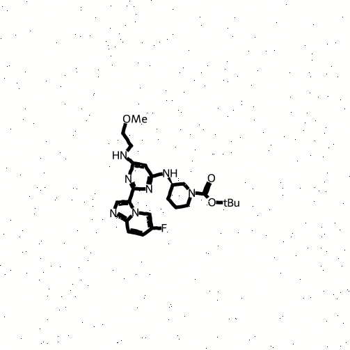 COCCNc1cc(N[C@@H]2CCCN(C(=O)OC(C)(C)C)C2)nc(-c2cnc3ccc(F)cn23)n1